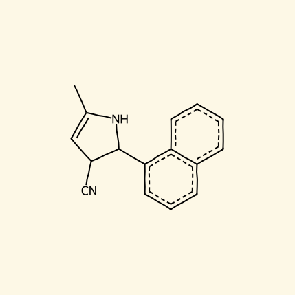 CC1=CC(C#N)C(c2cccc3ccccc23)N1